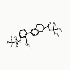 C=Cc1c(OS(=O)(=O)C(F)(F)F)cccc1-c1ccc2c(c1)CCN(C(=O)OC(C)(C)C)C2